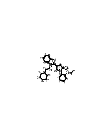 CCOc1ccccc1N1CC(c2nc3ccccc3n2CCC2CCCCC2)CC1=O